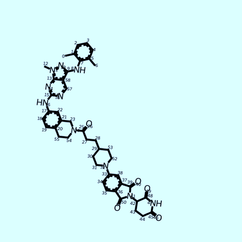 Cc1cccc(C)c1Nc1nn(C)c2nc(Nc3ccc4c(c3)CN(C(=O)CCC3CCN(c5ccc6c(c5)C(=O)N(C5CCC(=O)NC5=O)C6=O)CC3)CC4)ncc12